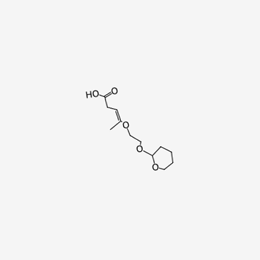 C/C(=C\CC(=O)O)OCCOC1CCCCO1